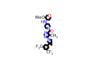 COC1COCCC1NC1CCN(C(=O)c2ncnc(N3CC4CC4(c4cc(C(F)(F)F)cc(C(F)(F)F)c4)C3)c2C)CC1